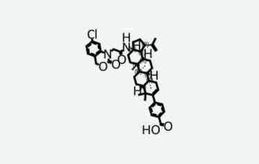 C=C(C)[C@@H]1CC[C@]2(NC(=O)CN3C(=O)OCc4ccc(Cl)cc43)CC[C@]3(C)[C@H](CC[C@@H]4[C@@]5(C)CC=C(c6ccc(C(=O)O)cc6)C(C)(C)[C@@H]5CC[C@]43C)[C@@H]12